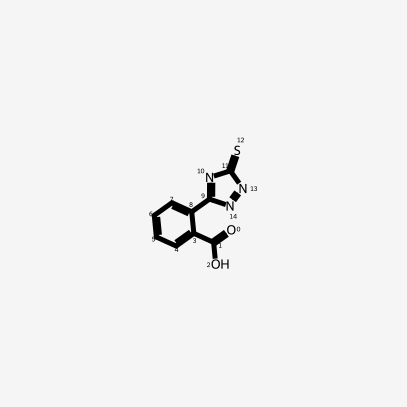 O=C(O)c1ccccc1C1=NC(=S)N=N1